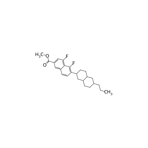 CCCC1CCC2CC(c3ccc4cc(C(=O)OC)cc(F)c4c3F)CCC2C1